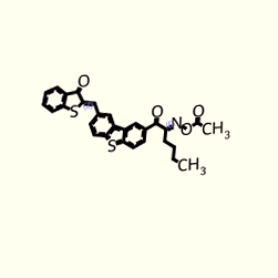 CCCC/C(=N\OC(C)=O)C(=O)c1ccc2sc3ccc(/C=C4\Sc5ccccc5C4=O)cc3c2c1